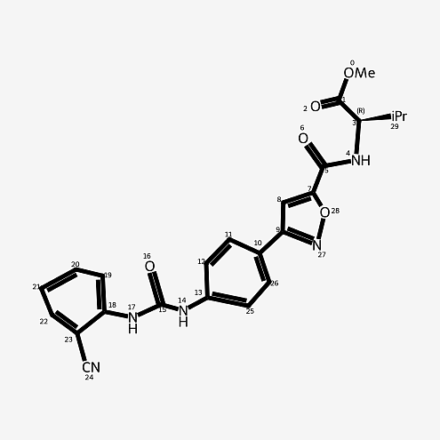 COC(=O)[C@H](NC(=O)c1cc(-c2ccc(NC(=O)Nc3ccccc3C#N)cc2)no1)C(C)C